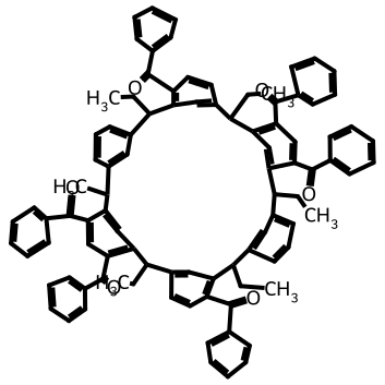 CCC1c2cccc(c2)C(C)c2cc(c(C(=O)c3ccccc3)cc2C(=O)c2ccccc2)C(CC)c2ccc(C(=O)c3ccccc3)c(c2)C(CC)c2cccc(c2)C(CC)c2cc(c(C(=O)c3ccccc3)cc2C(=O)c2ccccc2)C(CC)c2ccc(C(=O)c3ccccc3)c1c2